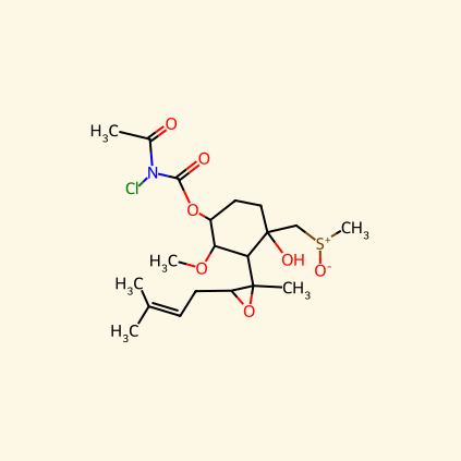 COC1C(OC(=O)N(Cl)C(C)=O)CCC(O)(C[S+](C)[O-])C1C1(C)OC1CC=C(C)C